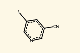 N#Cc1[c]ncc(I)c1